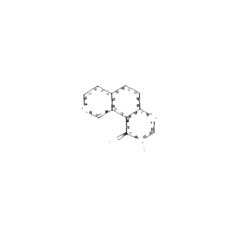 O=c1[nH]cnc2ccc3ccncc3c12